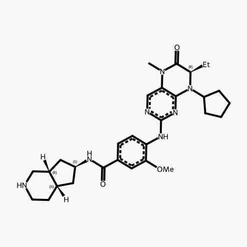 CC[C@@H]1C(=O)N(C)c2cnc(Nc3ccc(C(=O)N[C@@H]4C[C@H]5CNCC[C@H]5C4)cc3OC)nc2N1C1CCCC1